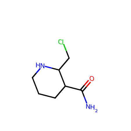 NC(=O)C1CCCNC1CCl